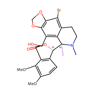 COc1ccc2c(c1OC)C(=O)O[C@@H]2[C@@]1(I)c2c(c(Br)c3c(c2CO)OCO3)CCN1C